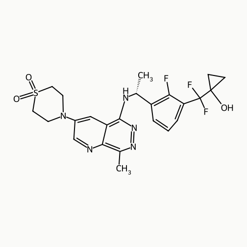 Cc1nnc(N[C@H](C)c2cccc(C(F)(F)C3(O)CC3)c2F)c2cc(N3CCS(=O)(=O)CC3)cnc12